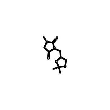 CN1CC(=O)N(CC2COC(C)(C)O2)C1=O